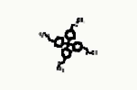 COCc1ccc(C(c2ccc(COC)cc2)(c2ccc(COC)cc2)c2ccc(COC)cc2)cc1